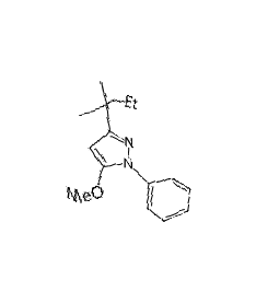 CCC(C)(C)c1cc(OC)n(-c2ccccc2)n1